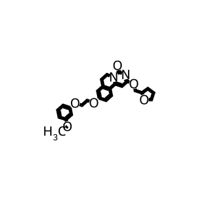 COc1cccc(OCCOc2ccc3c(c2)CCn2c-3cc(OCC3CCCO3)nc2=O)c1